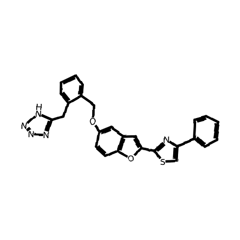 c1ccc(-c2csc(-c3cc4cc(OCc5ccccc5Cc5nnn[nH]5)ccc4o3)n2)cc1